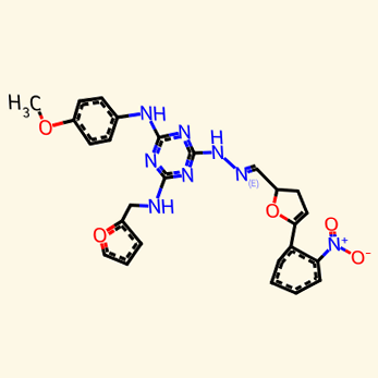 COc1ccc(Nc2nc(NCc3ccco3)nc(N/N=C/C3CC=C(c4ccccc4[N+](=O)[O-])O3)n2)cc1